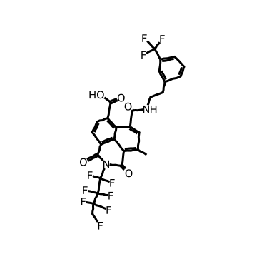 Cc1cc(C(=O)NCCc2cccc(C(F)(F)F)c2)c2c(C(=O)O)ccc3c2c1C(=O)N(C(F)(F)C(F)(F)C(F)(F)CF)C3=O